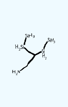 NCC([SiH2][SiH3])[SiH2][SiH3]